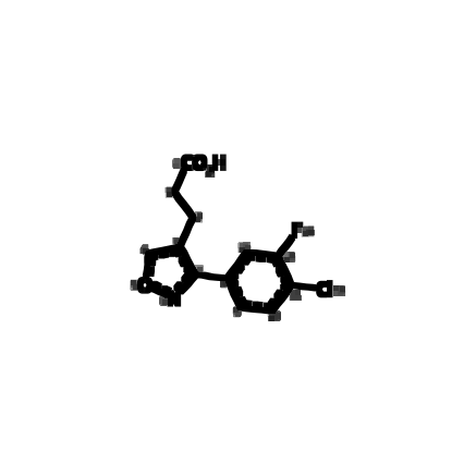 O=C(O)CCc1conc1-c1ccc(Cl)c(F)c1